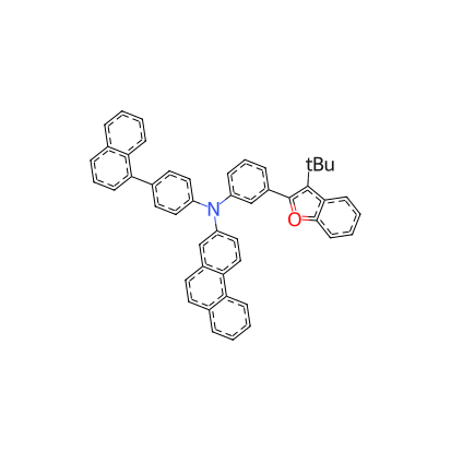 CC(C)(C)c1c(-c2cccc(N(c3ccc(-c4cccc5ccccc45)cc3)c3ccc4c(ccc5ccccc54)c3)c2)oc2ccccc12